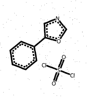 O=S(=O)(Cl)Cl.c1ccc(-c2cnco2)cc1